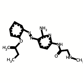 C=C(CC)Oc1ccccc1/N=N/c1ccc(NC(=O)CNC)nc1N